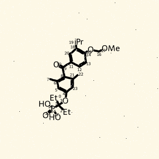 CCC(CC)(Oc1cc(C)c(C(=O)c2ccc(OCOC)c(C(C)C)c2)c(C)c1)P(=O)(O)O